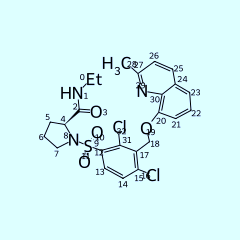 CCNC(=O)[C@@H]1CCCN1S(=O)(=O)c1ccc(Cl)c(COc2cccc3ccc(C)nc23)c1Cl